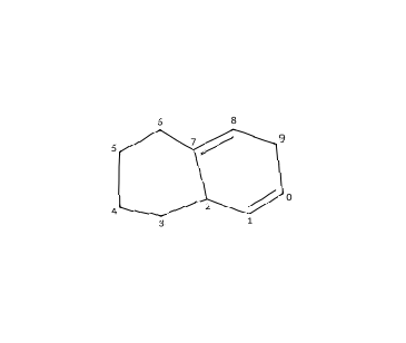 C1=CC2CCCCC2=CC1